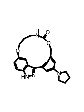 O=C1NCCCOc2ccc3[nH]nc(c3c2)-c2cc(cc(N3CCCC3)c2)CO1